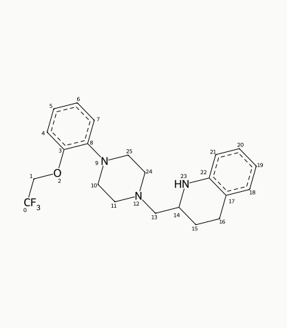 FC(F)(F)COc1ccccc1N1CCN(CC2CCc3ccccc3N2)CC1